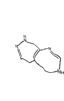 [c]1n[nH]c2c1CNC=N2